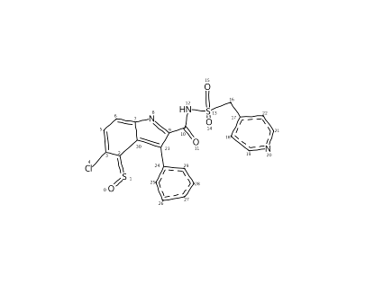 O=S=C1C(Cl)=CC=C2N=C(C(=O)NS(=O)(=O)Cc3ccncc3)C(c3ccccc3)=C21